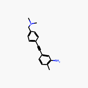 Cc1ccc(C#Cc2ccc(CN(C)C)cc2)cc1N